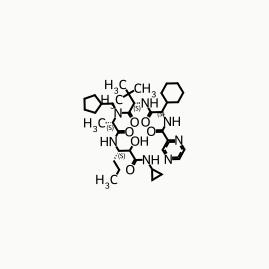 CCC[C@H](NC(=O)[C@H](C)N(CC1CCCC1)C(=O)[C@@H](NC(=O)[C@@H](NC(=O)c1cnccn1)C1CCCCC1)C(C)(C)C)C(O)C(=O)NC1CC1